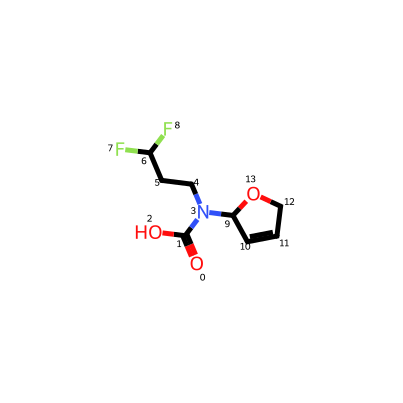 O=C(O)N(CCC(F)F)C1C=CCO1